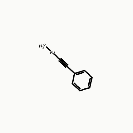 [PH2][Au][C]#Cc1ccccc1